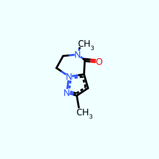 Cc1cc2n(n1)CCN(C)C2=O